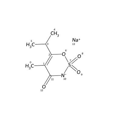 CC1=C(C(C)C)OS(=O)(=O)[N-]C1=O.[Na+]